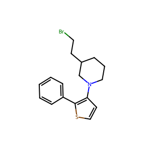 BrCCC1CCCN(c2ccsc2-c2ccccc2)C1